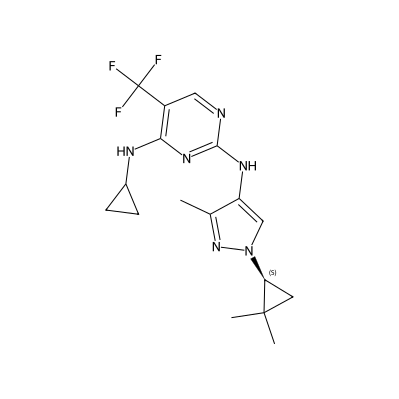 Cc1nn([C@H]2CC2(C)C)cc1Nc1ncc(C(F)(F)F)c(NC2CC2)n1